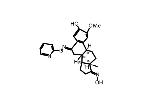 COc1cc2c(cc1O)C(=NOc1ccccn1)C[C@@H]1[C@@H]2CC[C@]2(C)C(=NO)CC[C@@H]12